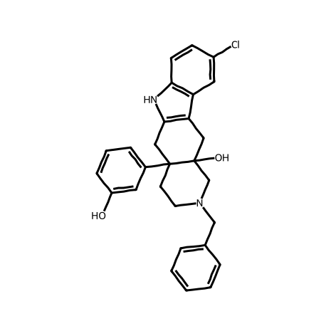 Oc1cccc(C23CCN(Cc4ccccc4)CC2(O)Cc2c([nH]c4ccc(Cl)cc24)C3)c1